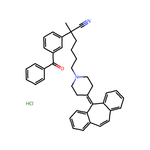 CC(C#N)(CCCCN1CCC(=C2c3ccccc3C=Cc3ccccc32)CC1)c1cccc(C(=O)c2ccccc2)c1.Cl